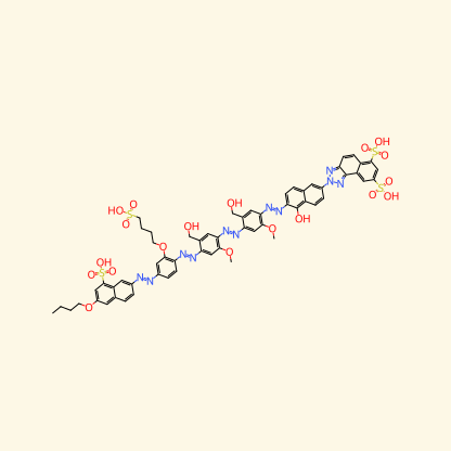 CCCCOc1cc(S(=O)(=O)O)c2cc(N=Nc3ccc(N=Nc4cc(OC)c(N=Nc5cc(OC)c(N=Nc6ccc7cc(-n8nc9ccc%10c(S(=O)(=O)O)cc(S(=O)(=O)O)cc%10c9n8)ccc7c6O)cc5CO)cc4CO)c(OCCCCS(=O)(=O)O)c3)ccc2c1